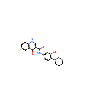 O=C(Nc1ccc(C2CCCCC2)c(O)c1)c1c[nH]c2ccc(F)cc2c1=O